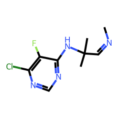 C/N=C\C(C)(C)Nc1ncnc(Cl)c1F